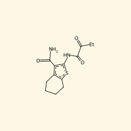 CCC(=O)C(=O)Nc1sc2c(c1C(N)=O)CCCC2